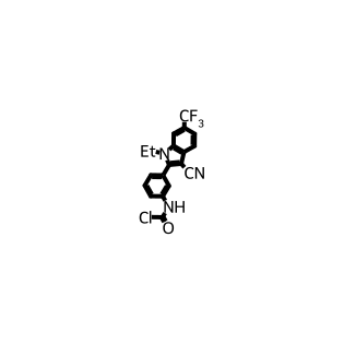 CCn1c(-c2cccc(NC(=O)Cl)c2)c(C#N)c2ccc(C(F)(F)F)cc21